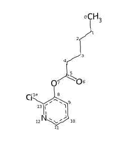 CCCCCC(=O)Oc1cccnc1Cl